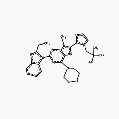 CCc1nc2ccccc2n1-c1nc(N2CCOCC2)c2nc(-c3ncnn3CC(C)(C)O)n(C)c2n1